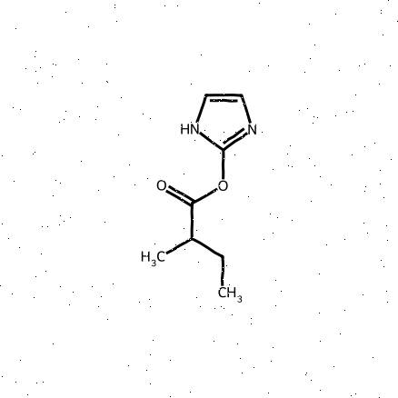 CCC(C)C(=O)Oc1ncc[nH]1